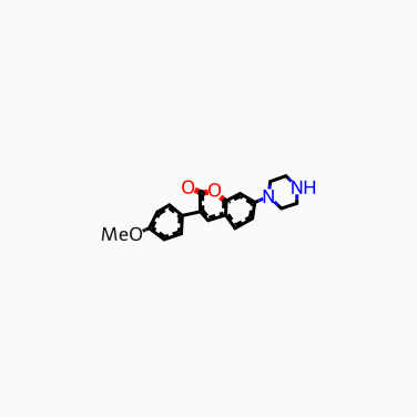 COc1ccc(-c2cc3ccc(N4CCNCC4)cc3oc2=O)cc1